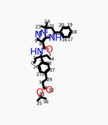 CCC(CC)(NC(=O)c1cnn2c1NC(c1ccccc1)CC2(C)C)c1ccc(CCC(=O)OC(C)C)cc1